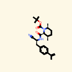 C=C(C)c1ccc(C[C@@H](C#N)NC(=O)[C@@H]2[C@H](C)CC[C@H](C)N2C(=O)OC(C)(C)C)cc1